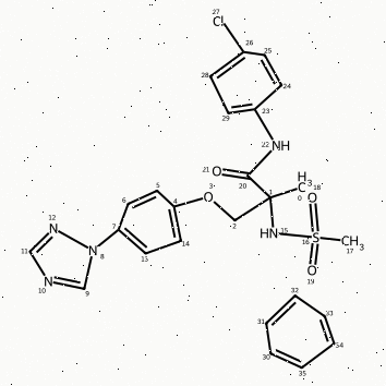 CC(COc1ccc(-n2cncn2)cc1)(NS(C)(=O)=O)C(=O)Nc1ccc(Cl)cc1.c1ccccc1